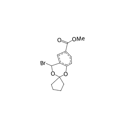 COC(=O)c1ccc2c(c1)C(Br)OC1(CCCC1)O2